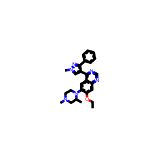 CCOc1cc2ncnc(-c3cn(C)nc3-c3ccccc3)c2cc1N1CCN(C)CC1C